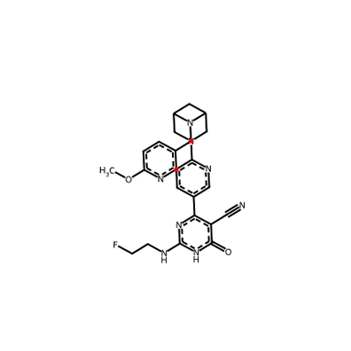 COc1ccc(CN2C3CC2CN(c2ccc(-c4nc(NCCF)[nH]c(=O)c4C#N)cn2)C3)cn1